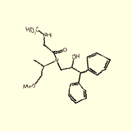 COCC(C)N(CC(O)C(c1ccccc1)c1ccccc1)C(=O)CNC(=O)O